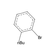 CCCCc1ccccc1Br